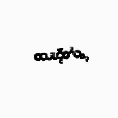 COC1CC2(CCN(C(=O)c3ccc4c(c3)C3(CC3)CN(CC(O)CN3CCc5ccccc5C3)C4=O)CC2)C1